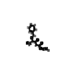 COC(=O)CC(=O)C(C)OCc1ccccc1